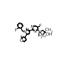 CN(CC(C)(O)C(F)(F)F)c1nc(-c2cc(-c3ccon3)n(Cc3ccccc3F)n2)ncc1F